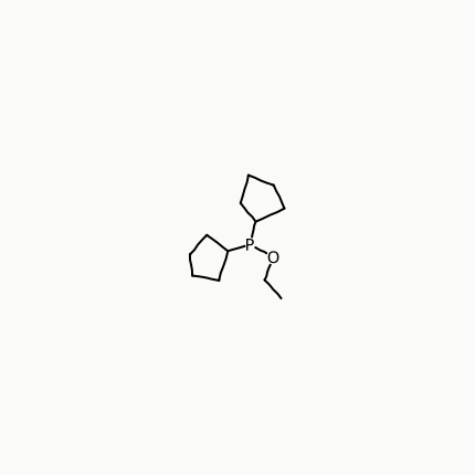 CCOP(C1CCCC1)C1CCCC1